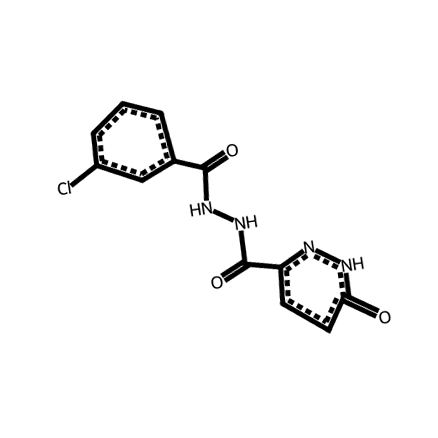 O=C(NNC(=O)c1ccc(=O)[nH]n1)c1cccc(Cl)c1